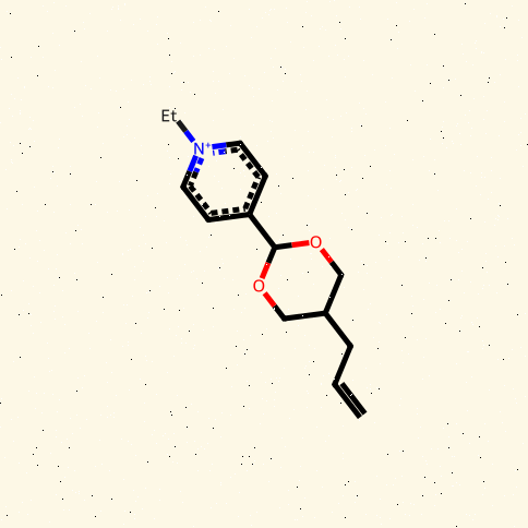 C=CCC1COC(c2cc[n+](CC)cc2)OC1